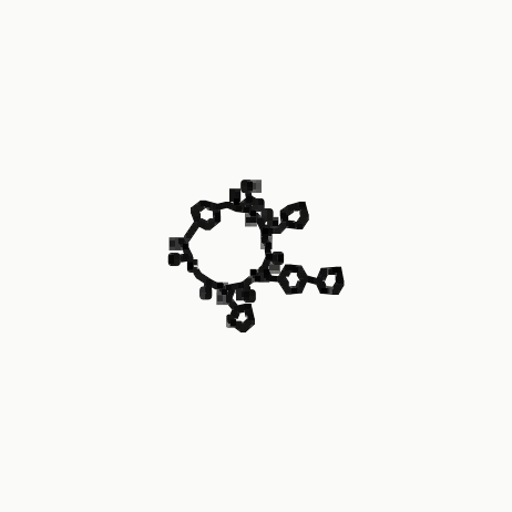 O=C1CCC(=O)N[C@H](Cc2cccs2)C(=O)N[C@H](Cc2ccc(-c3ccccc3)cc2)C(=O)N[C@@H](Cc2ccccc2)C(=O)N[C@@H](C(=O)O)Cc2ccc(cc2)N1